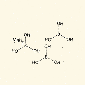 OB(O)O.OB(O)O.OB(O)O.[MgH2]